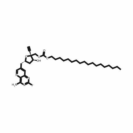 C#C[C@]1(COC(=O)OCCCCCCCCCCCCCCCCCC)O[C@@H](Cc2cnc3c(N)nc(F)nc3c2)C[C@@H]1O